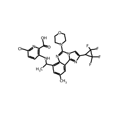 Cc1cc(C(C)Nc2ccc(Cl)nc2C(=O)O)c2nc(N3CCOCC3)n3cc(C4C(F)(F)C4(F)F)nc3c2c1